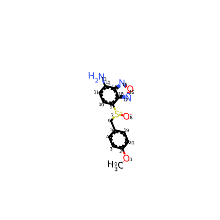 COc1ccc(C[S+]([O-])c2ccc(N)c3nonc23)cc1